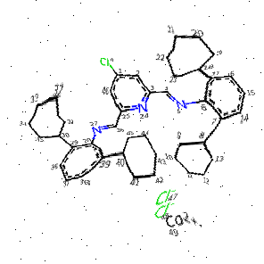 Clc1cc(C=Nc2c(C3CCCCC3)cccc2C2CCCCC2)nc(C=Nc2c(C3CCCCC3)cccc2C2CCCCC2)c1.[Cl-].[Cl-].[Co+2]